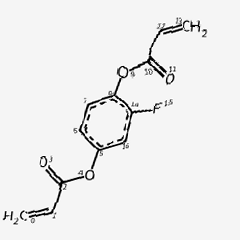 C=CC(=O)Oc1ccc(OC(=O)C=C)c(F)c1